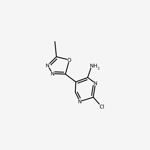 Cc1nnc(-c2cnc(Cl)nc2N)o1